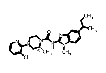 CCC(C)c1ccc2c(c1)nc(NC(=O)N1CCN(c3ncccc3Cl)C[C@H]1C)n2C